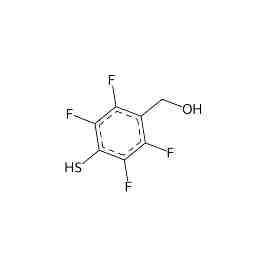 OCc1c(F)c(F)c(S)c(F)c1F